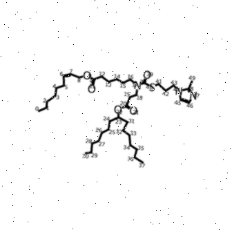 CCCCCC/C=C\COC(=O)CCCCCN(CCC(=O)OC(CCCCCCC)CCCCCCC)C(=O)SCCCn1ccnc1C